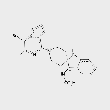 Cc1nc(N2CCC3(CC2)Nc2ccccc2[C@H]3NC(=O)O)c2ccnn2c1Br